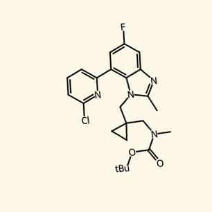 Cc1nc2cc(F)cc(-c3cccc(Cl)n3)c2n1CC1(CN(C)C(=O)OC(C)(C)C)CC1